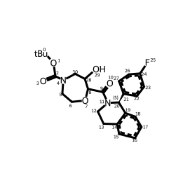 CC(C)(C)OC(=O)N1CCOC(C(=O)N2CCc3ccccc3[C@@H]2c2ccc(F)cc2)C(O)C1